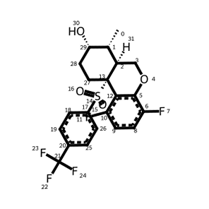 C[C@@H]1[C@H]2COc3c(F)ccc(F)c3[C@@]2(S(=O)(=O)c2ccc(C(F)(F)F)cc2)CC[C@@H]1O